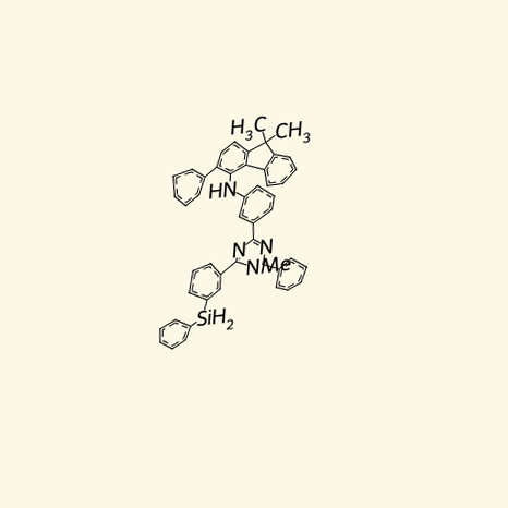 CN/C(=N\C(=N/Cc1ccccc1)c1cccc(Nc2c(-c3ccccc3)ccc3c2-c2ccccc2C3(C)C)c1)c1cccc([SiH2]c2ccccc2)c1